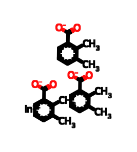 Cc1cccc(C(=O)[O-])c1C.Cc1cccc(C(=O)[O-])c1C.Cc1cccc(C(=O)[O-])c1C.[In+3]